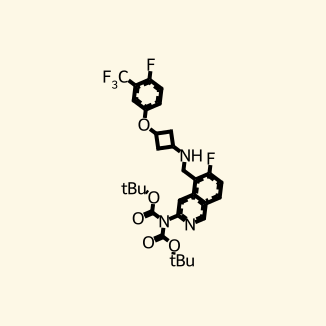 CC(C)(C)OC(=O)N(C(=O)OC(C)(C)C)c1cc2c(CNC3CC(Oc4ccc(F)c(C(F)(F)F)c4)C3)c(F)ccc2cn1